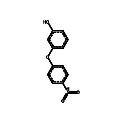 O=[SH](=O)c1ccc(Oc2cccc(O)c2)cc1